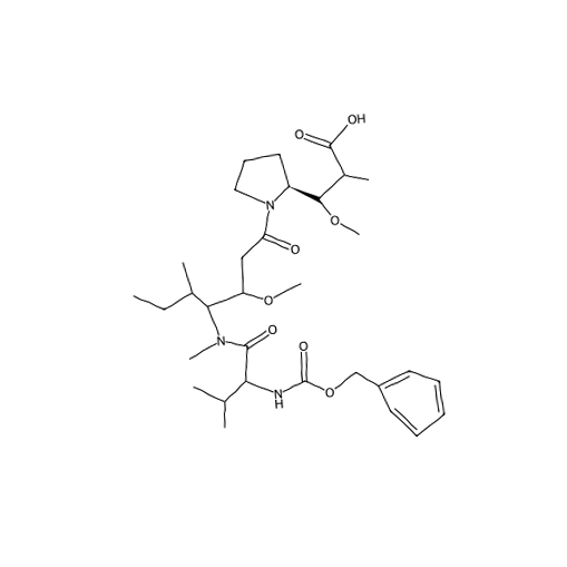 CCC(C)C(C(CC(=O)N1CCC[C@H]1C(OC)C(C)C(=O)O)OC)N(C)C(=O)C(NC(=O)OCc1ccccc1)C(C)C